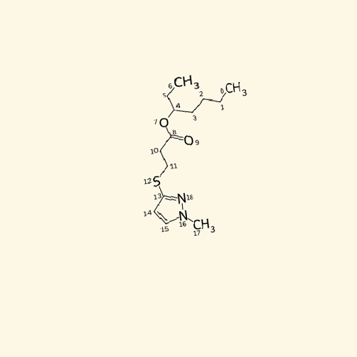 CCCCC(CC)OC(=O)CCSc1ccn(C)n1